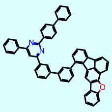 c1ccc(-c2ccc(-c3nc(-c4ccccc4)cc(-c4cccc(-c5cccc(-c6cccc7c6-c6cc8c9ccccc9oc8c8cccc-7c68)c5)c4)n3)cc2)cc1